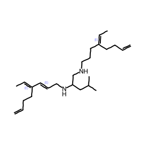 C=CCCC(/C=C/CNC(CNCCC/C(=C/C)CCC=C)CC(C)C)=C\C